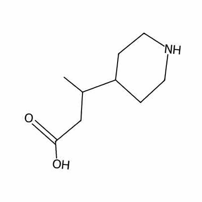 CC(CC(=O)O)C1CCNCC1